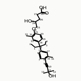 CCC(CC)(c1ccc(C#CC(C)(C)O)c(C)c1)c1ccc(OCC(O)CCC(=O)O)c(C)c1